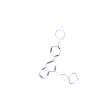 CN1CCN(c2ccc(-c3cc4nccnc4c(NC[C@]4(F)CCCNC4)n3)cc2)CC1